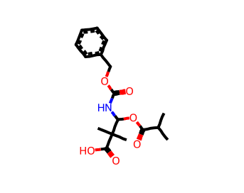 CC(C)C(=O)OC(NC(=O)OCc1ccccc1)C(C)(C)C(=O)O